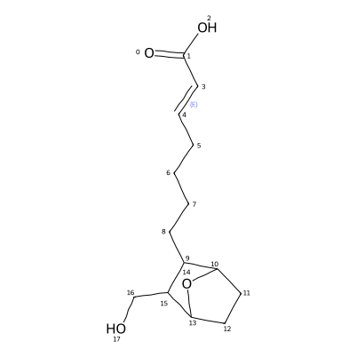 O=C(O)/C=C/CCCCC1C2CCC(O2)C1CO